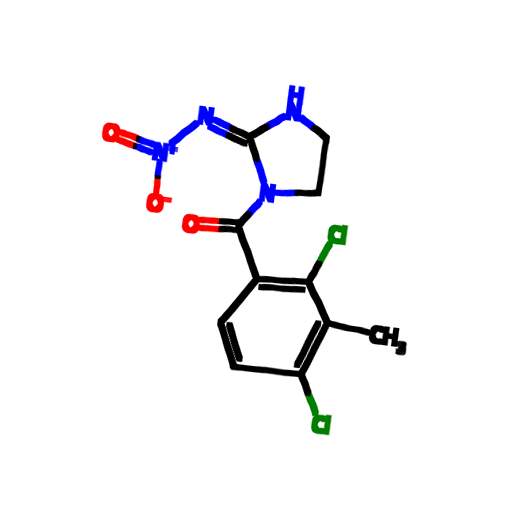 Cc1c(Cl)ccc(C(=O)N2CCN/C2=N/[N+](=O)[O-])c1Cl